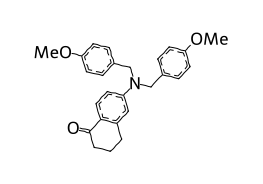 COc1ccc(CN(Cc2ccc(OC)cc2)c2ccc3c(c2)CCCC3=O)cc1